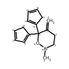 C=C1C[CH2][Al]([CH3])[O]C1(C1=CC=CC1)C1=CC=CC1